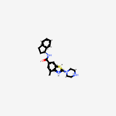 Cc1cc(C(=O)N[C@H]2CCc3ccccc32)cc2sc(N3CCNCC3)nc12